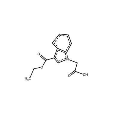 CCOC(=O)c1cn(CC(=O)O)c2ccccc12